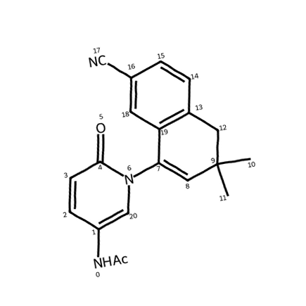 CC(=O)Nc1ccc(=O)n(C2=CC(C)(C)Cc3ccc(C#N)cc32)c1